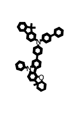 CC1(C)c2ccccc2-c2ccc(N(c3ccc(-c4ccccc4)cc3)c3ccc(-c4ccc5c6c7c(ccc6n(-c6ccccc6)c5c4)C4(C)C=CC=CC4O7)cc3)cc21